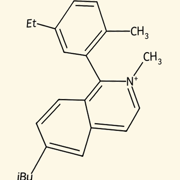 CCc1ccc(C)c(-c2c3ccc(C(C)CC)cc3cc[n+]2C)c1